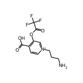 NCCC[n+]1ccc(C(=O)O)c(OC(=O)C(F)(F)F)c1